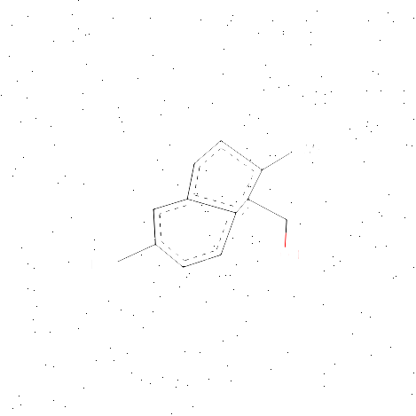 COc1ccc2cc(C)ccc2c1CO